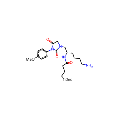 CCCCCCCCCCCCCC(=O)N[C@@H](CCCCN)CN1CC(=O)N(c2ccc(OC)cc2)C1=O